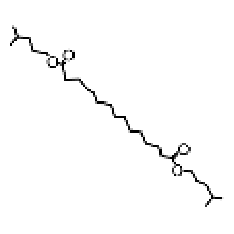 CC(C)CCCOC(=O)CCCCCCCCCCCCCC(=O)OCCCC(C)C